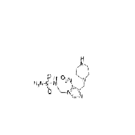 NS(=O)(=O)NCn1cnc(CN2CCNCC2)c1[N+](=O)[O-]